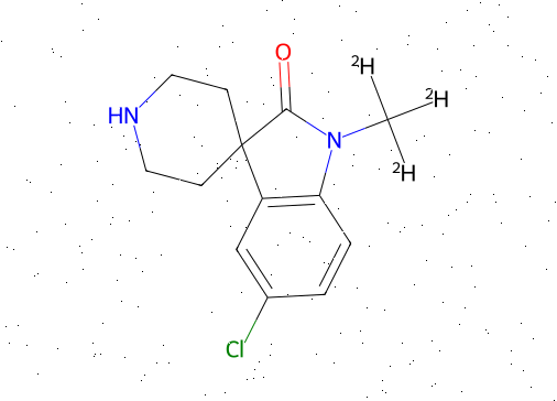 [2H]C([2H])([2H])N1C(=O)C2(CCNCC2)c2cc(Cl)ccc21